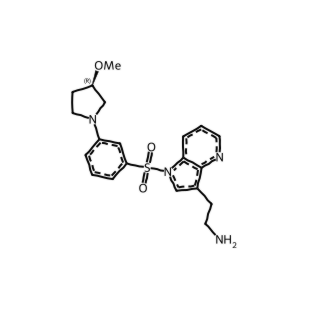 CO[C@@H]1CCN(c2cccc(S(=O)(=O)n3cc(CCN)c4ncccc43)c2)C1